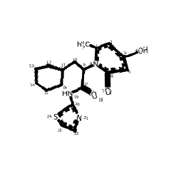 Cc1cc(O)cc(=O)n1C(CC1CCCCC1)C(=O)Nc1nccs1